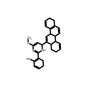 COC1=CC(C2=CC3C4=C(C=CC3C3C=CCCC23)CCC=C4)NC(C2=C(O)C=CCC2)=N1